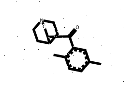 Cc1ccc(C)c(C(=O)C2CN3CCC2CC3)c1